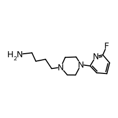 NCCCCN1CCN(c2cccc(F)n2)CC1